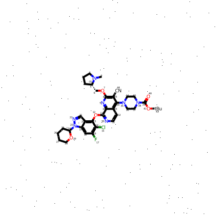 CN1CCC[C@H]1COc1nc2c(Oc3c(Cl)c(F)cc4c3cnn4C3CCCCO3)nccc2c(N2CCN(C(=O)OC(C)(C)C)CC2)c1C#N